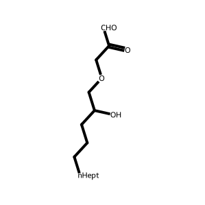 CCCCCCCCCCC(O)COCC(=O)C=O